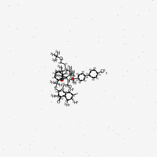 [2H]c1c(C)c([2H])c2c(c1[2H])c(=O)c([2H])c(SC([2H])([2H])c1cccc(F)c1F)n2CC(=O)N(C([2H])([2H])c1ccc(-c2ccc(C(F)(F)F)cc2)cc1)C1([2H])C([2H])([2H])C([2H])([2H])N(CCOC([2H])([2H])[2H])C([2H])([2H])C1([2H])[2H]